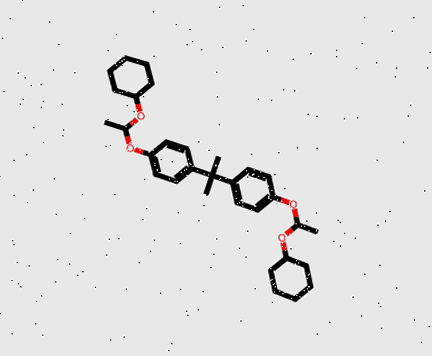 CC(Oc1ccc(C(C)(C)c2ccc(OC(C)OC3CCCCC3)cc2)cc1)OC1CCCCC1